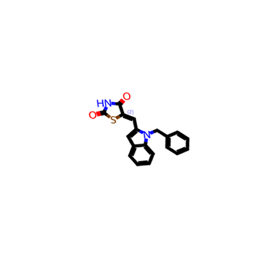 O=C1NC(=O)/C(=C/c2cc3ccccc3n2Cc2ccccc2)S1